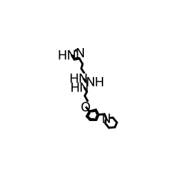 N=C(NCCCOc1cccc(CN2CCCCC2)c1)NCCCc1c[nH]cn1